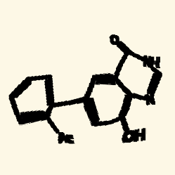 CC(=O)c1ccccc1-c1cc(O)c2nc[nH]c(=O)c2c1